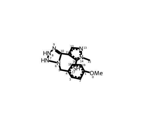 COc1ccc(CN2NNN=C2c2cnn(C)c2S)cc1